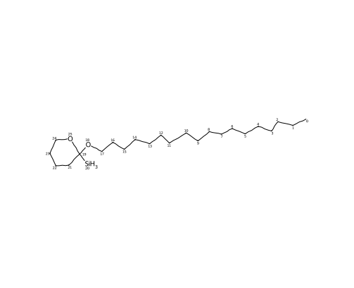 CCCCCCCCCCCCCCCCCCOC1([SiH3])CCCCO1